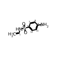 C=CNS(=O)(=O)c1ccc(N)cc1